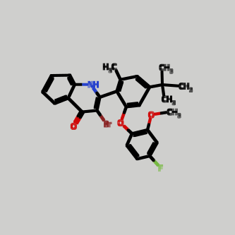 COc1cc(F)ccc1Oc1cc(C(C)(C)C)cc(C)c1-c1[nH]c2ccccc2c(=O)c1Br